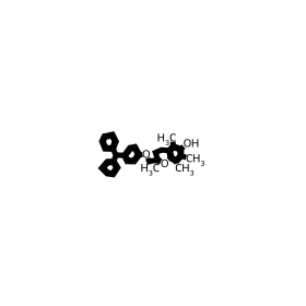 Cc1c(C)c2c(c(C)c1O)CCC(C)(COc1[c]cc(C(c3ccccc3)c3ccccc3)cc1)O2